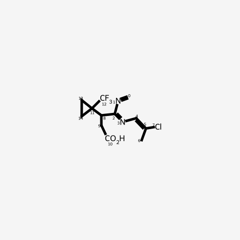 C=N/C(=N\C=C(/C)Cl)C(CC(=O)O)C1(C(F)(F)F)CC1